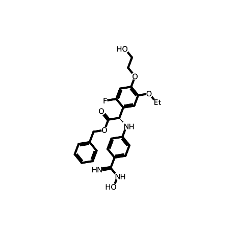 CCOc1cc([C@H](Nc2ccc(C(=N)NO)cc2)C(=O)OCc2ccccc2)c(F)cc1OCCO